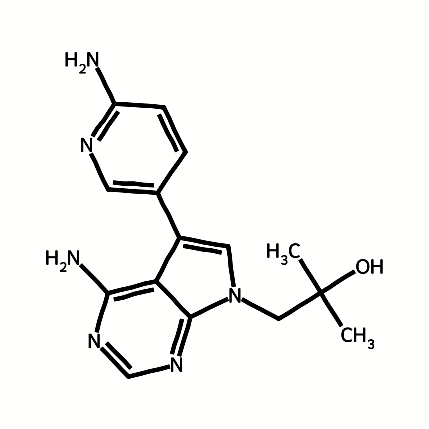 CC(C)(O)Cn1cc(-c2ccc(N)nc2)c2c(N)ncnc21